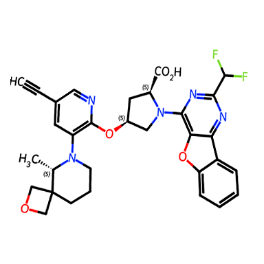 C#Cc1cnc(O[C@H]2C[C@@H](C(=O)O)N(c3nc(C(F)F)nc4c3oc3ccccc34)C2)c(N2CCCC3(COC3)[C@@H]2C)c1